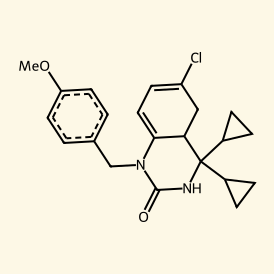 COc1ccc(CN2C(=O)NC(C3CC3)(C3CC3)C3CC(Cl)=CC=C32)cc1